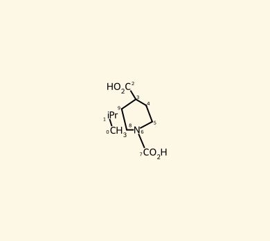 CC(C)C.O=C(O)C1CCN(C(=O)O)CC1